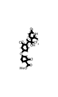 COC(=O)c1ccc(Oc2ccc(C(C)C(O)(c3ccc(=O)[nH]c3C)C(F)(F)F)c(Cl)c2)cc1Cl